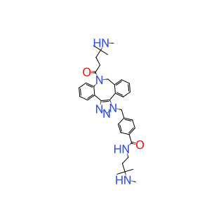 CNC(C)(C)CCNC(=O)c1ccc(Cn2nnc3c2-c2ccccc2CN(C(=O)CCC(C)(C)NC)c2ccccc2-3)cc1